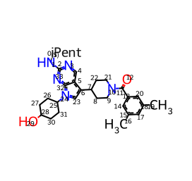 CCC[C@H](C)Nc1ncc2c(C3CCN(C(=O)c4cc(C)cc(C)c4)CC3)cn(C3CCC(O)CC3)c2n1